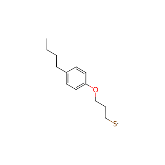 CCCCc1ccc(OCCC[S])cc1